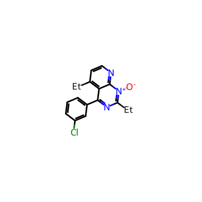 CCc1ccnc2c1c(-c1cccc(Cl)c1)nc(CC)[n+]2[O-]